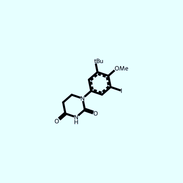 COc1c(I)cc(N2CCC(=O)NC2=O)cc1C(C)(C)C